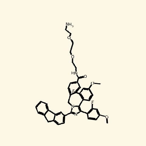 COc1ccc(-c2nc(-c3ccc4c(c3)-c3ccccc3C4)n(Cc3ccc(C(=O)NCCOCCOCCN)cc3)c2-c2ccc(OC)cc2F)c(F)c1